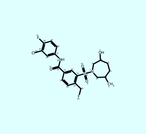 CC1CCC(O)CN(S(=O)(=O)c2cc(C(=O)Nc3ccc(F)c(Cl)c3)ccc2CF)C1